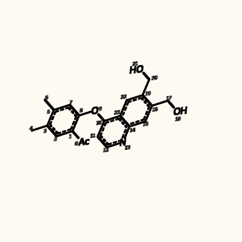 CC(=O)c1cc(C)c(C)cc1Oc1ccnc2cc(CO)c(CO)cc12